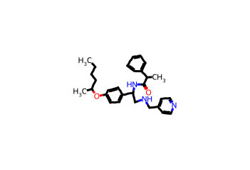 CCCCC(C)Oc1ccc(C(CNCc2ccncc2)NC(=O)C(C)c2ccccc2)cc1